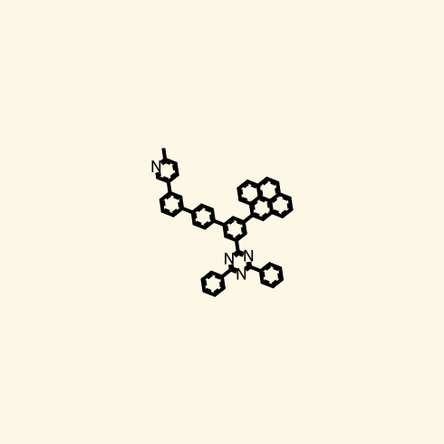 Cc1ccc(-c2cccc(-c3ccc(-c4cc(-c5nc(-c6ccccc6)nc(-c6ccccc6)n5)cc(-c5cc6cccc7ccc8cccc5c8c76)c4)cc3)c2)cn1